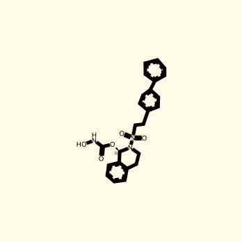 O=C(NO)O[C@H]1c2ccccc2CCN1S(=O)(=O)CCc1ccc(-c2ccccc2)cc1